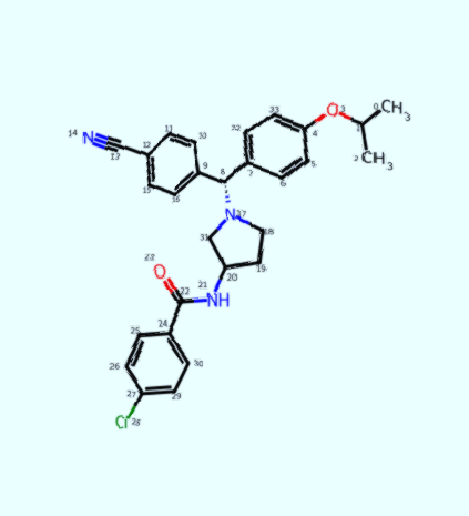 CC(C)Oc1ccc([C@@H](c2ccc(C#N)cc2)N2CCC(NC(=O)c3ccc(Cl)cc3)C2)cc1